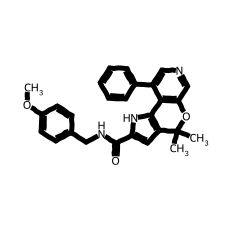 COc1ccc(CNC(=O)c2cc3c([nH]2)-c2c(cncc2-c2ccccc2)OC3(C)C)cc1